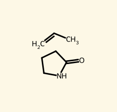 C=CC.O=C1CCCN1